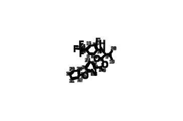 CC(OC(=O)C(Nc1ccc(C(F)(F)F)cc1F)C(C)C)c1cccc(Oc2ccccc2)n1